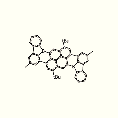 Cc1cc2c3c(c1)-c1cc(C(C)(C)C)c4cc5c6c(cc(C(C)(C)C)c7cc(c1c4c76)B3c1ccccc1-2)-c1cc(C)cc2c1B5c1ccccc1-2